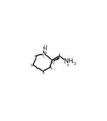 NC=C1CCCCN1